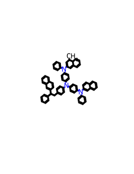 CC1C=C(N(c2ccccc2)c2ccc(N(c3ccc(CC(c4ccccc4)c4ccc5ccccc5c4)cc3)c3ccc(N(c4ccccc4)c4ccc5ccccc5c4)cc3)cc2)C=C2C=CC=CC21